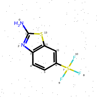 Nc1nc2ccc(S(F)(F)F)cc2s1